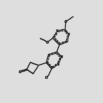 COc1ncc(-c2cc(C3CC(=O)C3)c(Cl)nn2)c(OC)n1